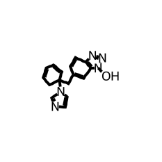 On1nnc2ccc(CC3(n4ccnc4)C=CC=CC3)cc21